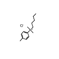 CCCCC[N+](C)(C)c1ccc(C)cc1.[Cl-]